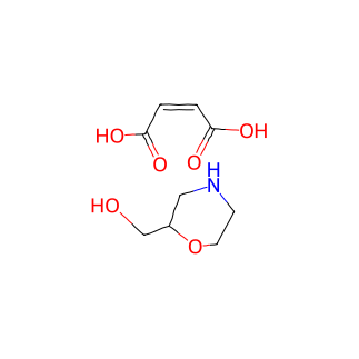 O=C(O)/C=C\C(=O)O.OCC1CNCCO1